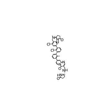 Cc1c(-c2ccn3c(=O)c(CNC[C@@H]4CCC(=O)N4)cnc3c2)cccc1-c1cccc(-c2ccc(CN(C)[C@H]3CCC(=O)N3)c(Cl)c2)c1Cl